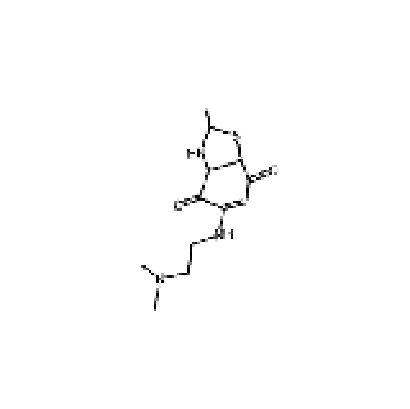 CC1NC2C(=O)C(NCCN(C)C)=CC(=O)C2S1